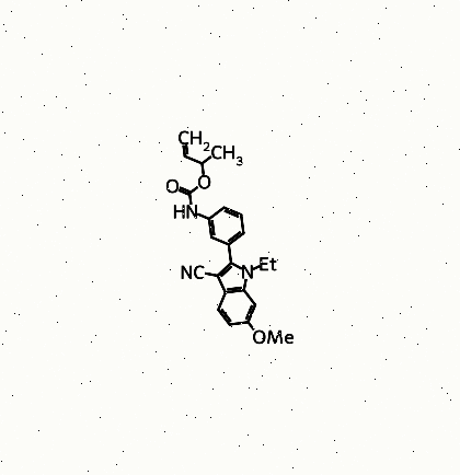 C=CC(C)OC(=O)Nc1cccc(-c2c(C#N)c3ccc(OC)cc3n2CC)c1